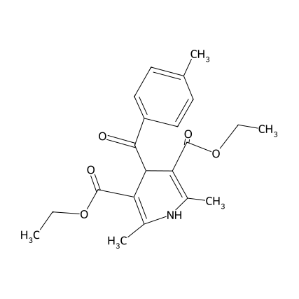 CCOC(=O)C1=C(C)NC(C)=C(C(=O)OCC)C1C(=O)c1ccc(C)cc1